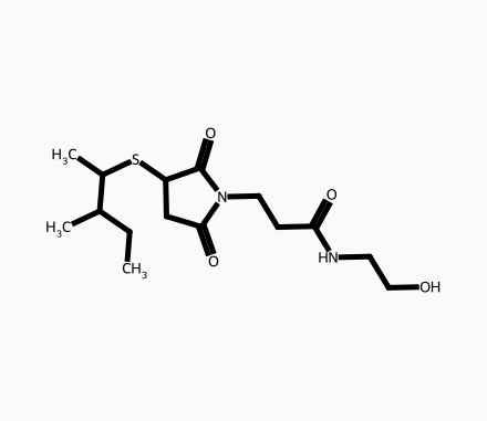 CCC(C)C(C)SC1CC(=O)N(CCC(=O)NCCO)C1=O